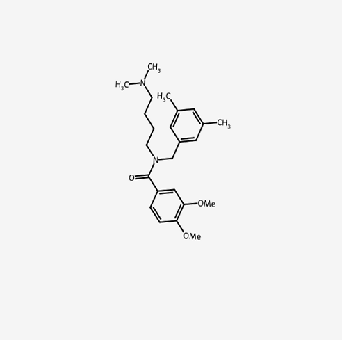 COc1ccc(C(=O)N(CCCCN(C)C)Cc2cc(C)cc(C)c2)cc1OC